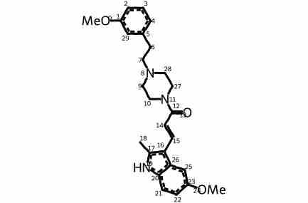 COc1cccc(CCN2CCN(C(=O)/C=C/c3c(C)[nH]c4ccc(OC)cc34)CC2)c1